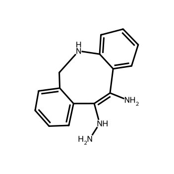 NN/C1=C(\N)c2ccccc2NCc2ccccc21